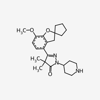 COc1ccc(C2=NN(C3CCNCC3)C(=O)C2(C)C)c2c1OC1(CCCC1)C2